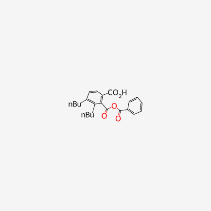 CCCCc1ccc(C(=O)O)c(C(=O)OC(=O)c2ccccc2)c1CCCC